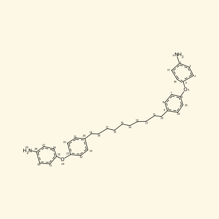 Nc1ccc(Oc2ccc(CCCCCCCCCCc3ccc(Oc4ccc(N)cc4)cc3)cc2)cc1